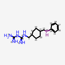 N=C(N)NC(=N)NCC1CCC(CPc2ccccc2)CC1